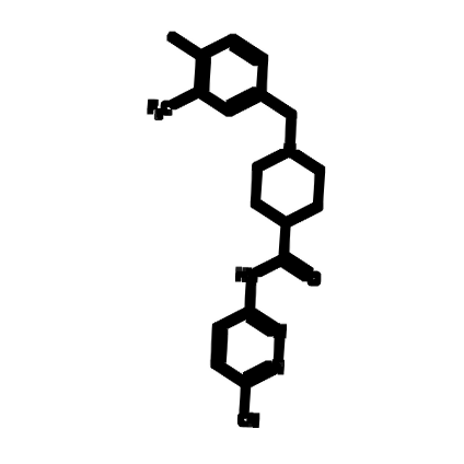 Cc1ccc(CN2CCC(C(=O)Nc3ccc(C#N)nn3)CC2)cc1C(F)(F)F